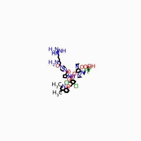 Cc1cc(C)c2cccc(OCc3c(Cl)ccc(S(=O)(=O)NC4CCCC4C(=O)N4CCN(C(=O)CC(N)CCCNC(=N)N)CC4)c3Cl)c2n1.O=C(O)C(F)(F)F.O=C1C=C(N2CC2)C(=O)C(N2CC2)=C1N1CC1